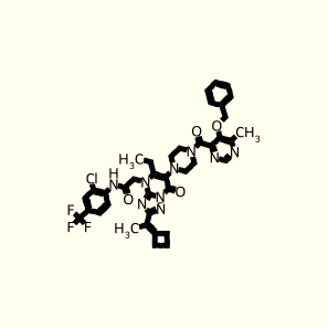 CCc1c(N2CCN(C(=O)c3ncnc(C)c3OCc3ccccc3)CC2)c(=O)n2nc(C(C)=C3CCC3)nc2n1CC(=O)Nc1ccc(C(F)(F)F)cc1Cl